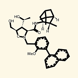 COc1c(CN2O[C@@H](CO)[C@H]([C@H](C)O)[C@H]2C(=O)N[C@H]2CC3C[C@@H]([C@@H]2C)C3(C)C)cccc1-c1cccc2ccccc12